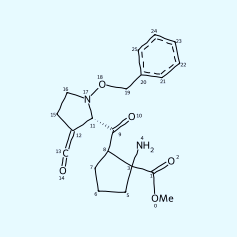 COC(=O)C1(N)CCCC1C(=O)[C@@H]1C(=C=O)CCN1OCc1ccccc1